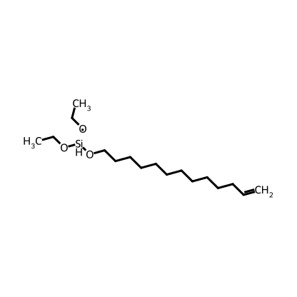 C=CCCCCCCCCCCCO[SiH](OCC)OCC